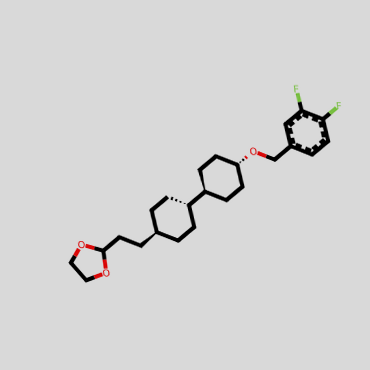 Fc1ccc(CO[C@H]2CC[C@H]([C@H]3CC[C@H](CCC4OCCO4)CC3)CC2)cc1F